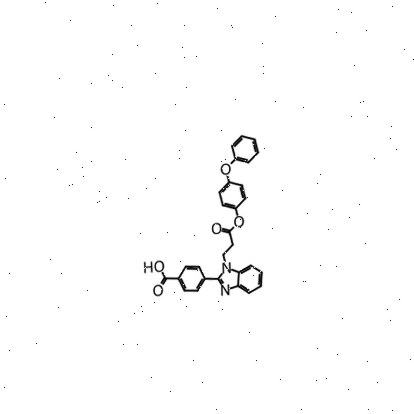 O=C(CCn1c(-c2ccc(C(=O)O)cc2)nc2ccccc21)Oc1ccc(Oc2ccccc2)cc1